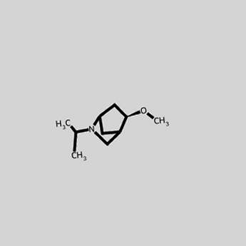 CO[C@@H]1CC2CC1CN2C(C)C